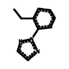 CCc1ccc[c]c1-n1nccn1